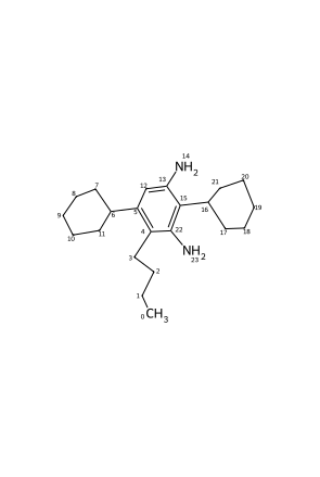 CCCCc1c(C2CCCCC2)cc(N)c(C2CCCCC2)c1N